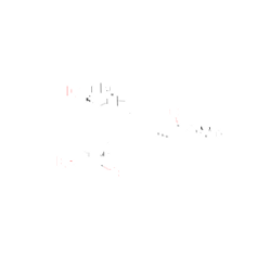 C=C[C@](O)(CCCC)CCC[C@H]1[C@H](O)CC(=O)[C@@H]1CCCCC=CC(=O)OC